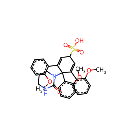 COc1ccccc1C1=CC(S(=O)(=O)O)C=C(c2ccccc2OC)C1(c1ccccc1OC)N1CCCNC1=O